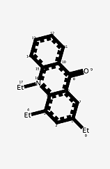 CCc1cc(CC)c2c(c1)c(=O)c1ccccc1n2CC